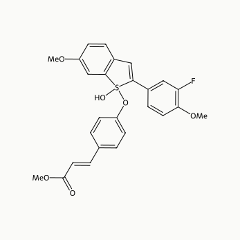 COC(=O)C=Cc1ccc(OS2(O)C(c3ccc(OC)c(F)c3)=Cc3ccc(OC)cc32)cc1